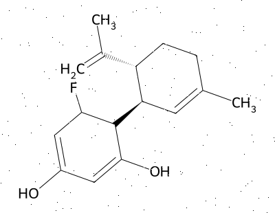 C=C(C)[C@@H]1CCC(C)=C[C@H]1C1C(O)=CC(O)=CC1F